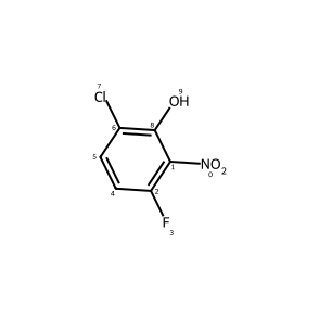 O=[N+]([O-])c1c(F)ccc(Cl)c1O